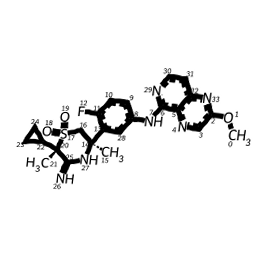 COc1cnc2c(Nc3ccc(F)c([C@]4(C)CS(=O)(=O)[C@@](C)(C5CC5)C(=N)N4)c3)nccc2n1